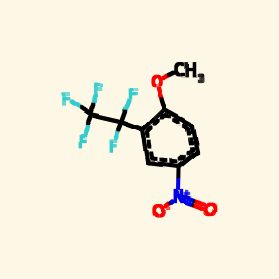 COc1ccc([N+](=O)[O-])cc1C(F)(F)C(F)(F)F